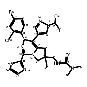 CN(C)C(=O)NCC1(F)CC2=C(c3cnn(C(F)F)c3)[C@H](c3ccc(F)cc3Cl)N=C(c3nccs3)N2C1